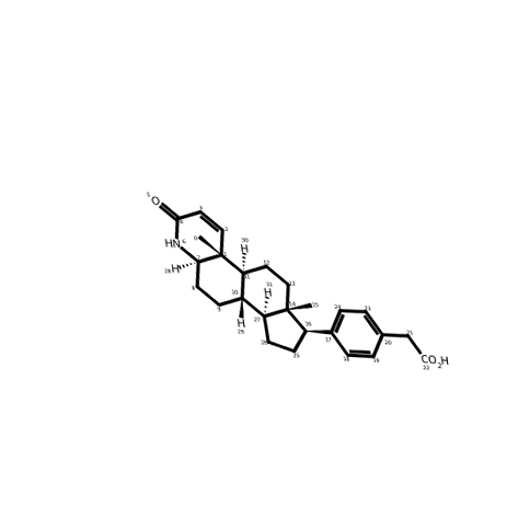 C[C@]12C=CC(=O)N[C@@H]1CC[C@@H]1[C@@H]2CC[C@]2(C)[C@@H](c3ccc(CC(=O)O)cc3)CC[C@@H]12